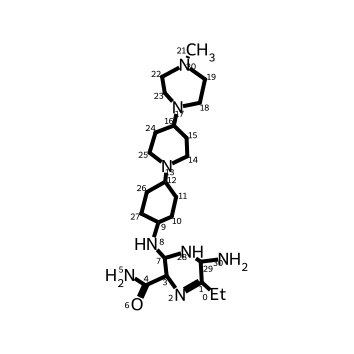 CCC1=NC(C(N)=O)C(NC2CCC(N3CCC(N4CCN(C)CC4)CC3)CC2)NC1N